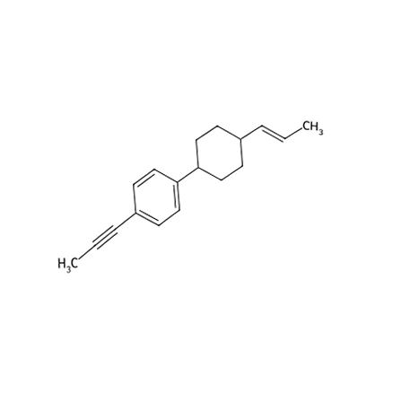 CC#Cc1ccc(C2CCC(/C=C/C)CC2)cc1